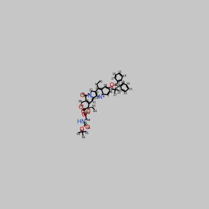 CCc1c2c(nc3ccc(O[Si](c4ccccc4)(c4ccccc4)C(C)(C)C)cc13)-c1cc3c(c(=O)n1C2)COC(=O)[C@@]3(CC)OC(=O)CNC(=O)OC(C)(C)C